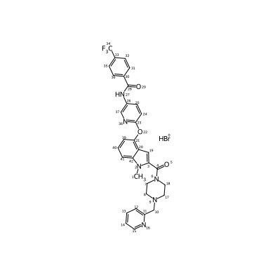 Br.Cn1c(C(=O)N2CCN(Cc3ccccn3)CC2)cc2c(Oc3ccc(NC(=O)c4ccc(C(F)(F)F)cc4)cn3)cccc21